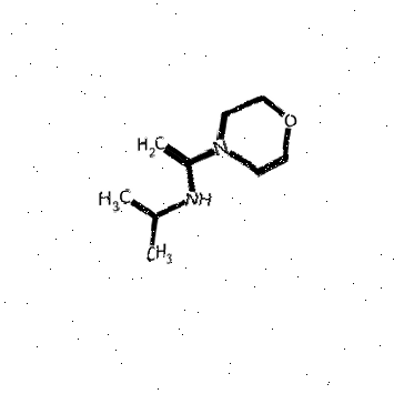 C=C(NC(C)C)N1CCOCC1